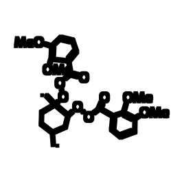 [CH2]C1CCC([CH2])(OOC(=O)c2cccc(OC)c2OC)C(OOC(=O)c2cccc(OC)c2OC)C1